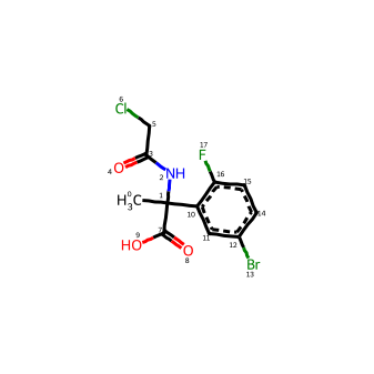 CC(NC(=O)CCl)(C(=O)O)c1cc(Br)ccc1F